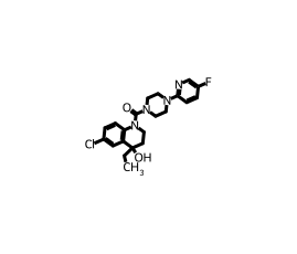 CCC1(O)CCN(C(=O)N2CCN(c3ccc(F)cn3)CC2)c2ccc(Cl)cc21